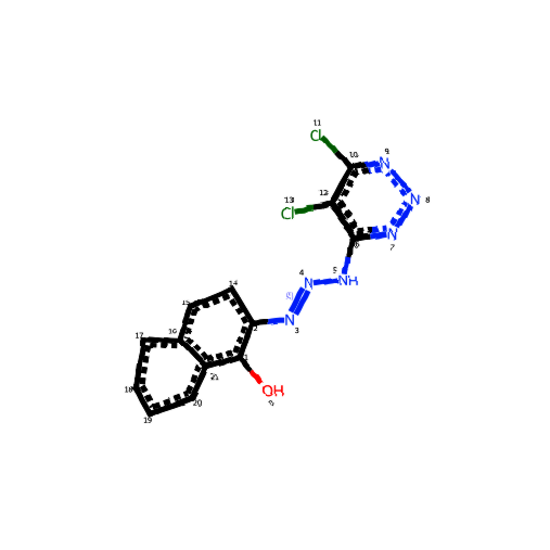 Oc1c(/N=N/Nc2nnnc(Cl)c2Cl)ccc2ccccc12